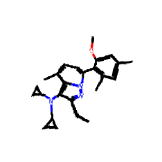 CCc1nn2c(-c3c(C)cc(C)cc3OC)ccc(C)c2c1N(C1CC1)C1CC1